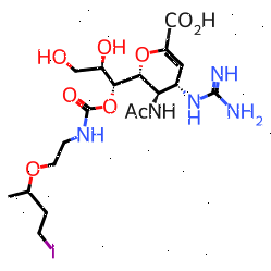 CC(=O)N[C@H]1[C@H]([C@H](OC(=O)NCCOC(C)CCI)[C@H](O)CO)OC(C(=O)O)=C[C@@H]1NC(=N)N